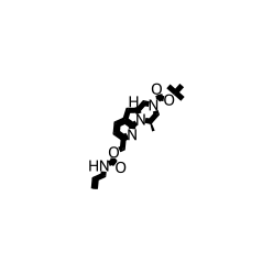 C=CCNC(=O)OCc1ccc2c(n1)N1[C@H](C2)CN(C(=O)OC(C)(C)C)C[C@H]1C